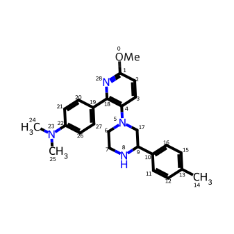 COc1ccc(N2CCNC(c3ccc(C)cc3)C2)c(-c2ccc(N(C)C)cc2)n1